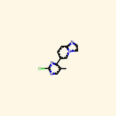 Cc1cnc(Cl)nc1-c1ccc2nccn2c1